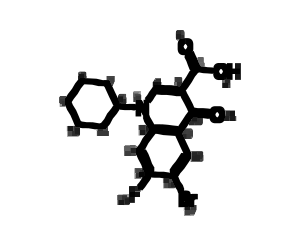 O=C(O)c1cn(C2CCCCC2)c2cc(F)c(Br)cc2c1=O